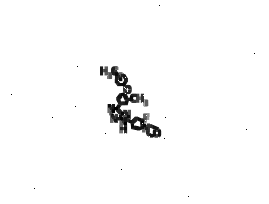 Cc1cc(-c2ncnc3[nH]c(-c4ccc(N5CCOCC5)c(F)c4)nc23)ccc1OC1CCN(C)CC1